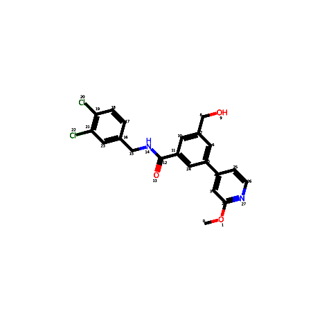 COc1cc(-c2cc(CO)cc(C(=O)NCc3ccc(Cl)c(Cl)c3)c2)ccn1